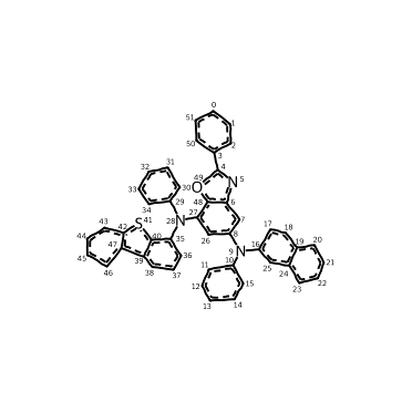 c1ccc(-c2nc3cc(N(c4ccccc4)c4ccc5ccccc5c4)cc(N(c4ccccc4)c4cccc5c4sc4ccccc45)c3o2)cc1